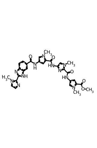 COC(=O)c1cc(NC(=O)c2nc(NC(=O)c3cc(NC(=O)c4ccc5nc(-c6nccn6C)[nH]c5c4)cn3C)cn2C)cn1C